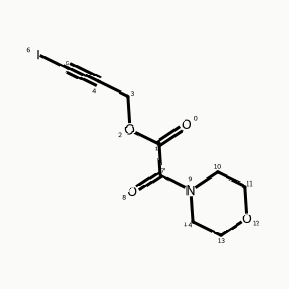 O=C(OCC#CI)C(=O)N1CCOCC1